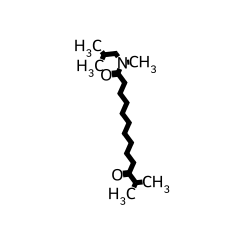 CC(C)CN(C)C(=O)CCCCCCCCCC(=O)C(C)C